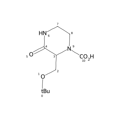 CC(C)(C)OCC1C(=O)NCCN1C(=O)O